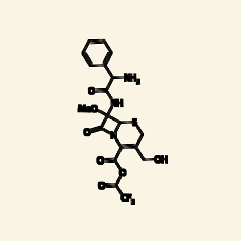 COC1(NC(=O)C(N)c2ccccc2)C(=O)N2C(C(=O)OC(=O)C(F)(F)F)=C(CO)CSC21